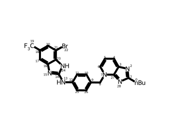 CCCCc1nc2cccn(Cc3ccc(Nc4nc5cc(C(F)(F)F)cc(Br)c5[nH]4)cc3)c-2n1